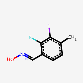 Cc1ccc(/C=N/O)c(F)c1I